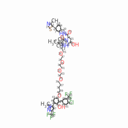 Cc1ncsc1-c1ccc(CNC(=O)C2C[C@@H](O)CN2C(=O)[C@@H](NCCOCCOCCOCCOCCCCCOc2ccc(-c3cc(C(F)(F)F)nn3C)c(O)c2-c2ccc(Cl)c(C(F)(F)F)c2)C(C)(C)C)cc1